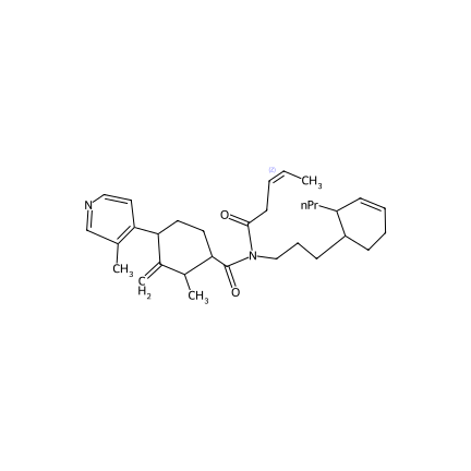 C=C1C(c2ccncc2C)CCC(C(=O)N(CCCC2CCC=CC2CCC)C(=O)C/C=C\C)C1C